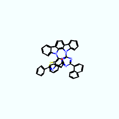 c1ccc(-c2nc(-c3cccc4ccccc34)nc(-n3c4ccccc4c4ccc5c6ccccc6n(-c6cccc7nc(-c8ccccc8)sc67)c5c43)n2)cc1